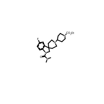 CCOC(=O)N1CCC(N2CCC3(CC2)CN(C(=O)N(C)C)c2ccc(F)cc23)CC1